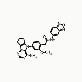 COc1cc(-n2c3c(c4ncnc(N)c42)CCC3)ccc1CC(=O)Nc1ccc2nonc2c1